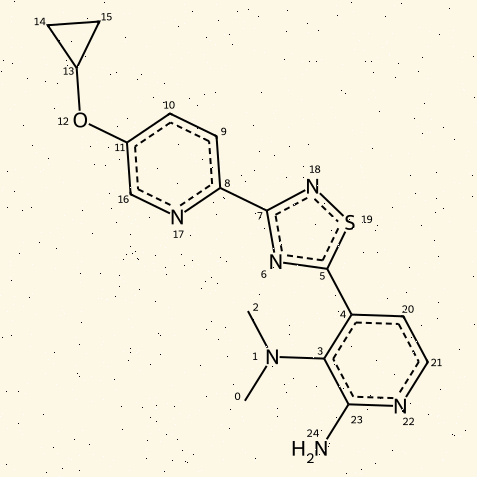 CN(C)c1c(-c2nc(-c3ccc(OC4CC4)cn3)ns2)ccnc1N